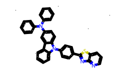 c1ccc(N(c2ccccc2)c2ccc3c(c2)c2ccccc2n3-c2ccc(-c3nc4ncccc4s3)cc2)cc1